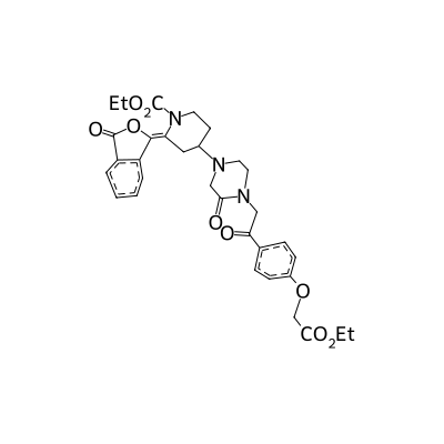 CCOC(=O)COc1ccc(C(=O)CN2CCN(C3CCN(C(=O)OCC)C(=C4OC(=O)c5ccccc54)C3)CC2=O)cc1